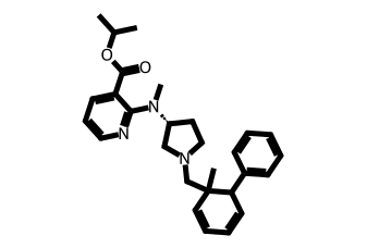 CC(C)OC(=O)c1cccnc1N(C)[C@@H]1CCN(CC2(C)C=CC=CC2c2ccccc2)C1